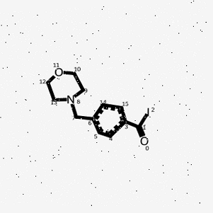 O=C(I)c1ccc(CN2CCOCC2)cc1